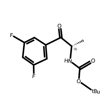 C[C@H](NC(=O)OC(C)(C)C)C(=O)c1cc(F)cc(F)c1